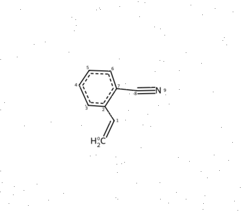 C=Cc1[c]cccc1C#N